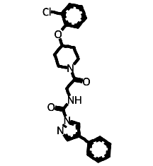 O=C(CNC(=O)n1cc(-c2ccccc2)cn1)N1CCC(Oc2ccccc2Cl)CC1